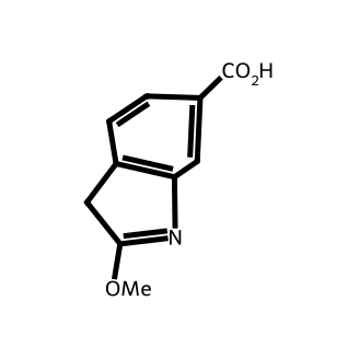 COC1=Nc2cc(C(=O)O)ccc2C1